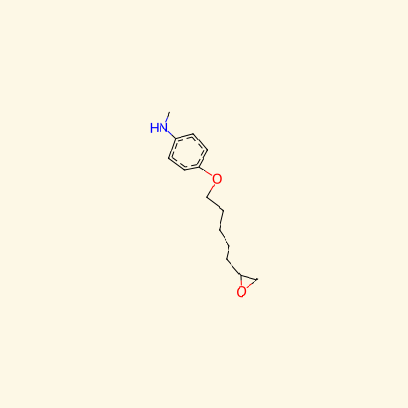 CNc1ccc(OCCCCCC2CO2)cc1